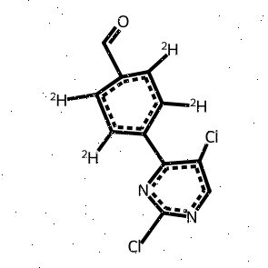 [2H]c1c([2H])c(-c2nc(Cl)ncc2Cl)c([2H])c([2H])c1C=O